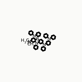 CN(C)c1cc2c3c(c1)N(c1ccccc1)c1cc(N(c4ccccc4)c4cccc(N(c5ccccc5)c5ccccc5)c4)ccc1B3c1ccccc1N2c1ccccc1